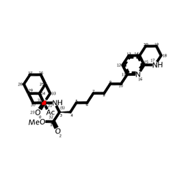 COC(=O)[C@H](CCCCCCCc1ccc2c(n1)NCCC2)NC(=O)C1C2CCCC1CN(C(C)=O)C2